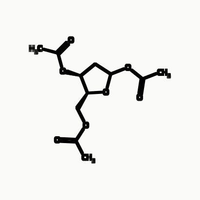 CC(=O)OC[C@@H]1OC(OC(C)=O)C[C@@H]1OC(C)=O